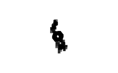 FC(F)(F)Sc1ccc(N=C=S)cc1